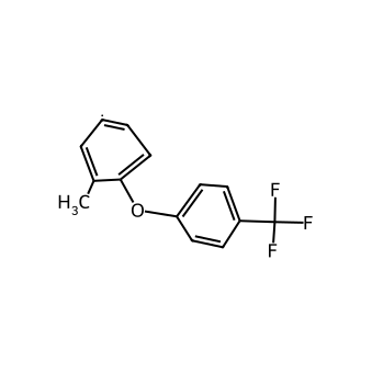 Cc1c[c]ccc1Oc1ccc(C(F)(F)F)cc1